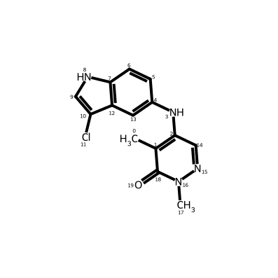 Cc1c(Nc2ccc3[nH]cc(Cl)c3c2)cnn(C)c1=O